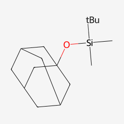 CC(C)(C)[Si](C)(C)OC12CC3CC(CC(C3)C1)C2